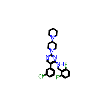 Fc1cccc(F)c1CNc1nc(N2CCC(N3CCCCC3)CC2)ncc1-c1cccc(Cl)c1